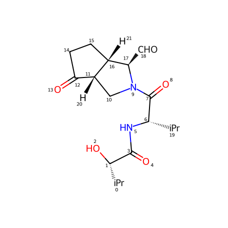 CC(C)[C@H](O)C(=O)N[C@H](C(=O)N1C[C@@H]2C(=O)CC[C@@H]2[C@H]1C=O)C(C)C